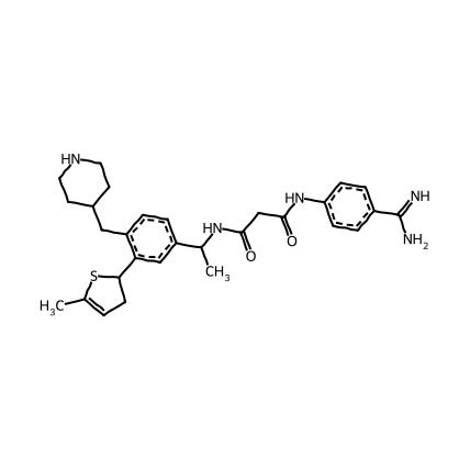 CC1=CCC(c2cc(C(C)NC(=O)CC(=O)Nc3ccc(C(=N)N)cc3)ccc2CC2CCNCC2)S1